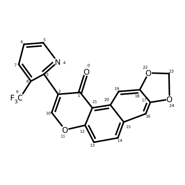 O=c1c(-c2ncccc2C(F)(F)F)coc2ccc3cc4c(cc3c12)OCO4